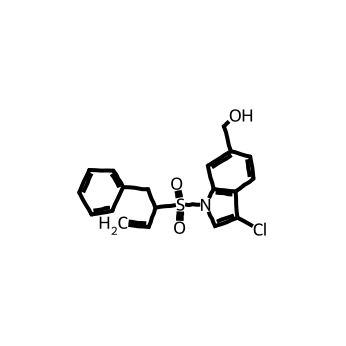 C=CC(Cc1ccccc1)S(=O)(=O)n1cc(Cl)c2ccc(CO)cc21